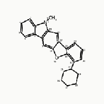 Cn1c2ccccc2c2cc3oc4c(C5CCCCC5)cccc4c3cc21